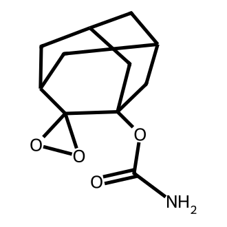 NC(=O)OC12CC3CC(CC(C3)C13OO3)C2